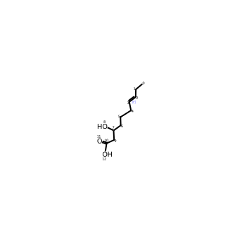 CC/C=C/CCCC(O)CC(=O)O